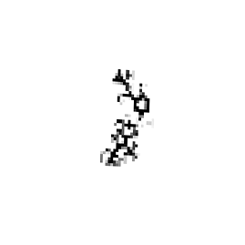 Cn1nc(C(F)(F)C(F)(F)F)c(C(F)(F)F)c1OC(=O)Nc1ccc(Cl)c(C(=O)NC2CC2)c1